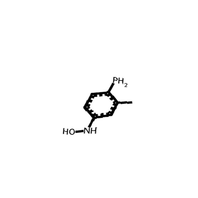 Cc1cc(NO)ccc1P